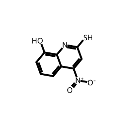 O=[N+]([O-])c1cc(S)nc2c(O)cccc12